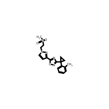 Cc1ccccc1C1(c2noc(-c3ccn(CCS(C)(=O)=O)n3)n2)CC1